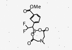 COC(=O)c1cccc(C(B2OC(=O)CN(C)CC(=O)O2)C(F)F)c1